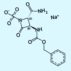 NC(=O)[C@@H]1[C@@H](NC(=O)OCc2ccccc2)C(=O)N1S(=O)(=O)[O-].[Na+]